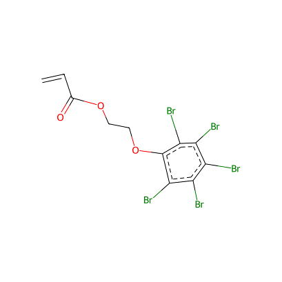 C=CC(=O)OCCOc1c(Br)c(Br)c(Br)c(Br)c1Br